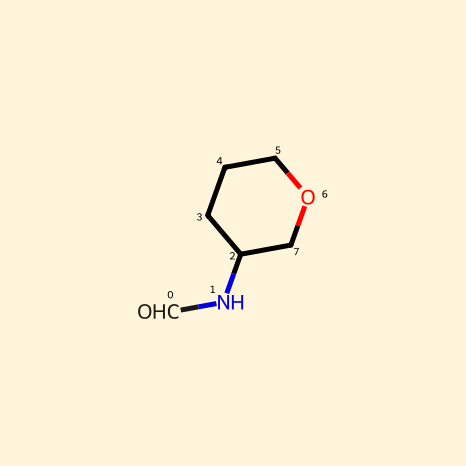 O=CNC1CCCOC1